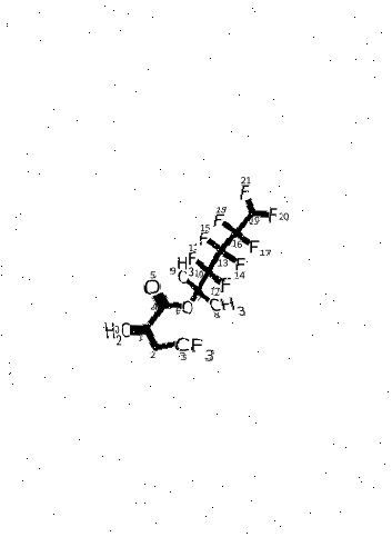 C=C(CC(F)(F)F)C(=O)OC(C)(C)C(F)(F)C(F)(F)C(F)(F)C(F)F